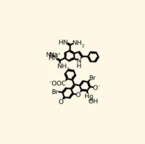 N=C(N)c1cc(C(=N)N)c2cc(-c3ccccc3)[nH]c2c1.O=C([O-])c1ccccc1-c1c2cc(Br)c(=O)cc-2oc2[c]([Hg][OH])c([O-])c(Br)cc12.[Na+].[Na+]